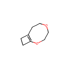 C1COC2=C(CCO1)CC2